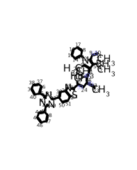 CBC(=C\c1c(BC)c(/C=C\C)n(-c2ccccc2)c1C)/C(=C/C)/C=C(\C)c1nc2cc(-c3nc(-c4ccccc4)nc(-c4ccccc4)n3)ccc2s1